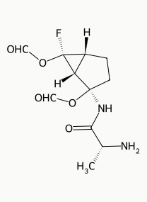 C[C@@H](N)C(=O)N[C@@]1(OC=O)CC[C@@H]2[C@H]1[C@@]2(F)OC=O